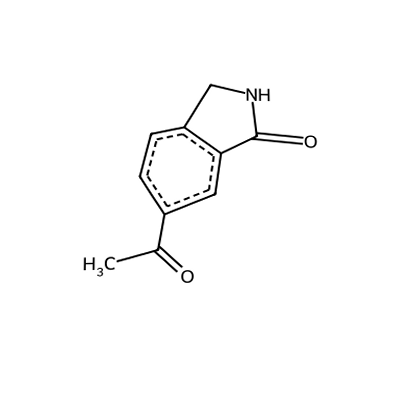 CC(=O)c1ccc2c(c1)C(=O)NC2